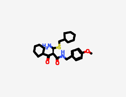 COc1ccc(CNC(=O)[C@@H](C(=O)C2CCCCC2)C(N)SCC2CCCCC2)cc1